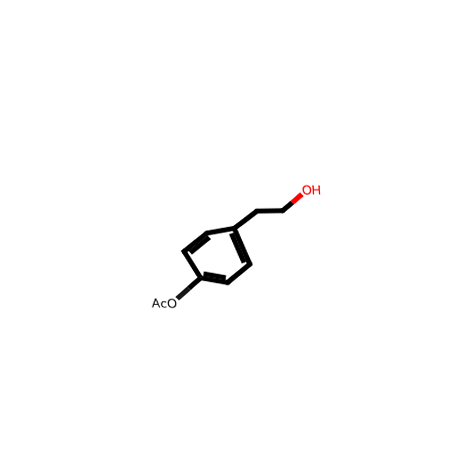 CC(=O)Oc1ccc(CCO)cc1